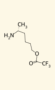 C[C@@H](N)CCCCOC(=O)C(F)(F)F